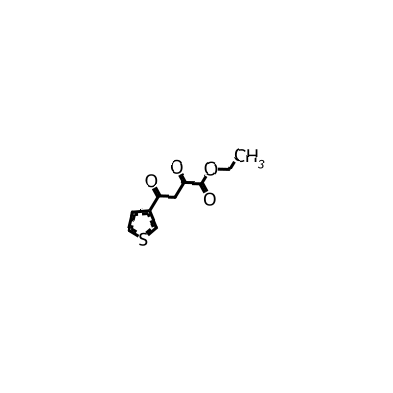 CCOC(=O)C(=O)CC(=O)c1ccsc1